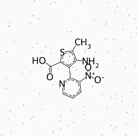 Cc1sc(C(=O)O)c(-c2ncccc2[N+](=O)[O-])c1N